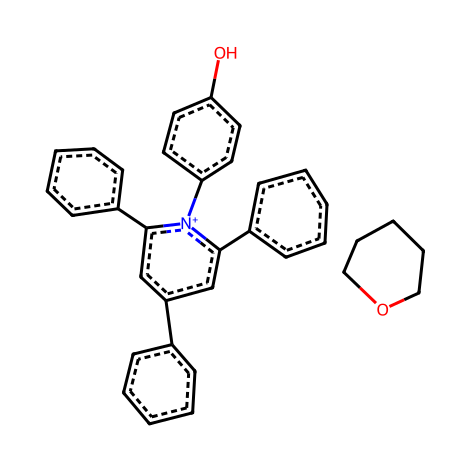 C1CCOCC1.Oc1ccc(-[n+]2c(-c3ccccc3)cc(-c3ccccc3)cc2-c2ccccc2)cc1